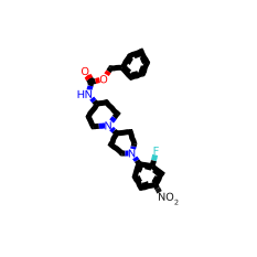 O=C(NC1CCN(C2CCN(c3ccc([N+](=O)[O-])cc3F)CC2)CC1)OCc1ccccc1